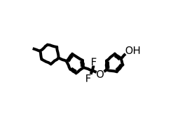 CC1CCC(c2ccc(C(F)(F)Oc3ccc(O)cc3)cc2)CC1